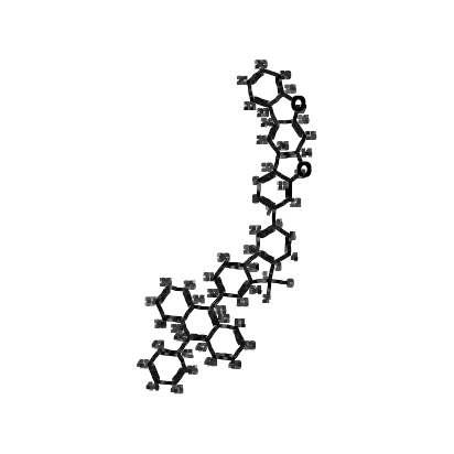 CC1(C)c2ccc(-c3ccc4c(c3)oc3cc5oc6ccccc6c5cc34)cc2-c2ccc(-c3c4ccccc4c(-c4ccccc4)c4ccccc34)cc21